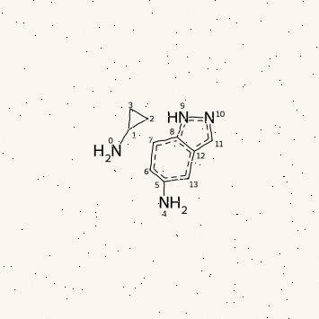 NC1CC1.Nc1ccc2[nH]ncc2c1